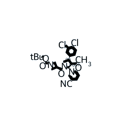 C[C@H](Oc1ccc(C#N)cn1)[C@H]1CN(C(=O)C2CN(C(=O)OC(C)(C)C)C2)C[C@@H]1c1ccc(Cl)c(Cl)c1